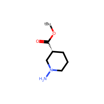 CC(C)(C)OC(=O)[C@@H]1CCCN(N)C1